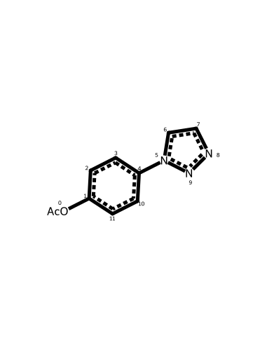 CC(=O)Oc1ccc(-n2ccnn2)cc1